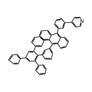 c1ccc(-c2cc(-c3ccccc3)c(-c3cccc(-c4c5ccccc5c(-c5cccc(-c6ccncc6)c5)c5ccccc45)c3)c(-c3ccccc3)c2)cc1